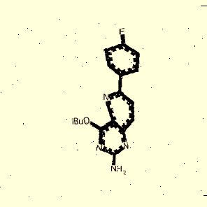 CC(C)COc1nc(N)nc2ccc(-c3ccc(F)cc3)nc12